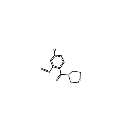 O=Cc1cc(Cl)ccc1C(=O)N1CCOCC1